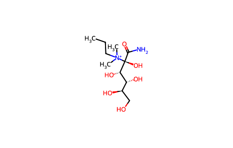 CCC[N+](C)(C)[C@](O)(C(N)=O)[C@@H](O)[C@H](O)[C@H](O)CO